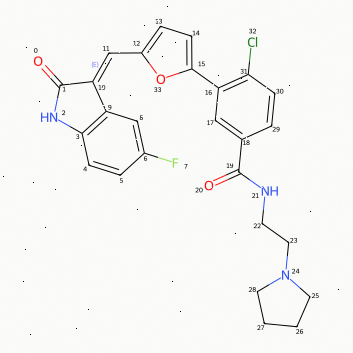 O=C1Nc2ccc(F)cc2/C1=C\c1ccc(-c2cc(C(=O)NCCN3CCCC3)ccc2Cl)o1